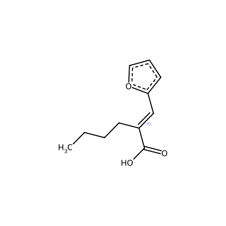 CCCC/C(=C\c1ccco1)C(=O)O